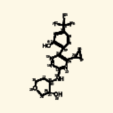 Oc1cc(C(F)(F)F)ccc1-c1nnc(N[C@@H]2CCOC[C@H]2O)nc1C1CC1